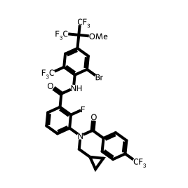 COC(c1cc(Br)c(NC(=O)c2cccc(N(CC3CC3)C(=O)c3ccc(C(F)(F)F)cc3)c2F)c(C(F)(F)F)c1)(C(F)(F)F)C(F)(F)F